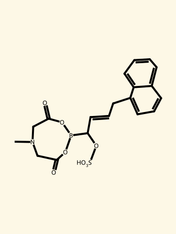 CN1CC(=O)OB(C(/C=C/Cc2cccc3ccccc23)OS(=O)(=O)O)OC(=O)C1